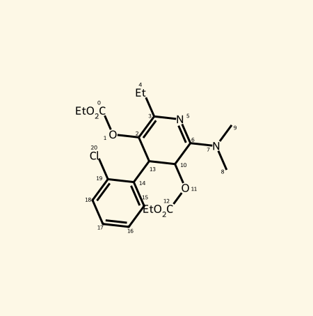 CCOC(=O)OC1=C(CC)N=C(N(C)C)C(OC(=O)OCC)C1c1ccccc1Cl